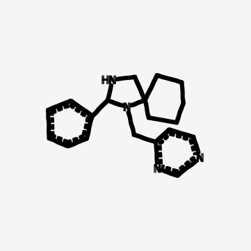 c1ccc(C2NCC3(CCCCC3)N2Cc2ccncn2)cc1